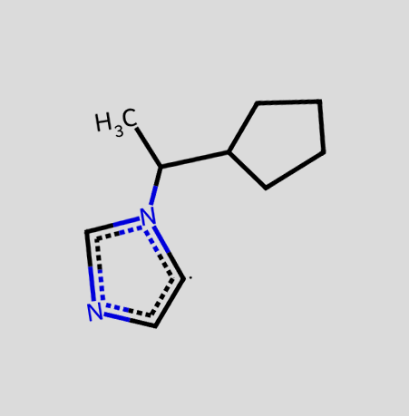 CC(C1CCCC1)n1[c]cnc1